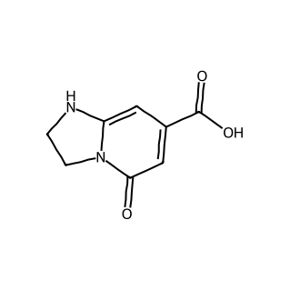 O=C(O)c1cc2n(c(=O)c1)CCN2